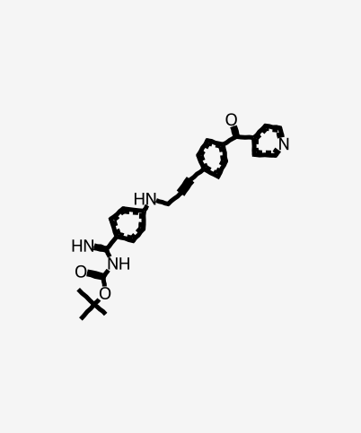 CC(C)(C)OC(=O)NC(=N)c1ccc(NCC#Cc2ccc(C(=O)c3ccncc3)cc2)cc1